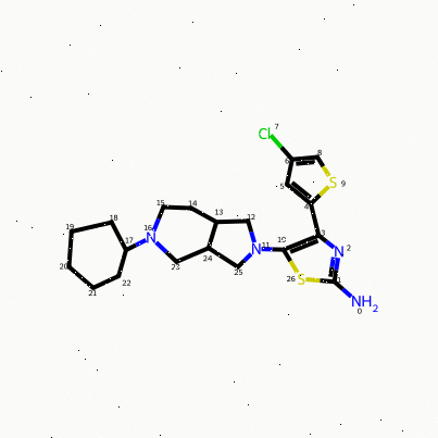 Nc1nc(-c2cc(Cl)cs2)c(N2CC3CCN(C4CCCCC4)CC3C2)s1